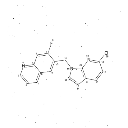 Fc1cc2ncccc2cc1Cn1nnc2ccc(Cl)nc21